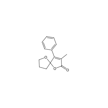 CC1=C(c2ccccc2)C2(CCCO2)OC1=O